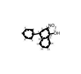 O=[N+]([O-])c1cc(-c2ccccc2)c2ccccc2c1O